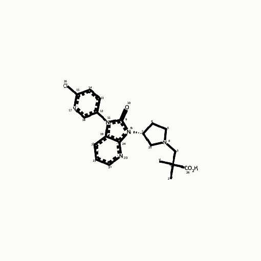 CC(C)(CN1CC[C@@H](n2c(=O)n(-c3ccc(Cl)nc3)c3cccnc32)C1)C(=O)O